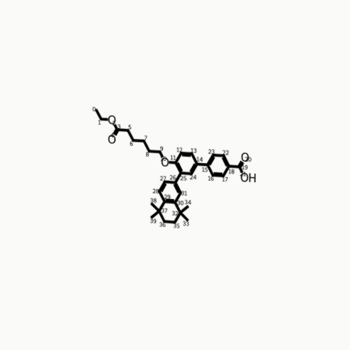 CCOC(=O)CCCCCOc1ccc(-c2ccc(C(=O)O)cc2)cc1-c1ccc2c(c1)C(C)(C)CCC2(C)C